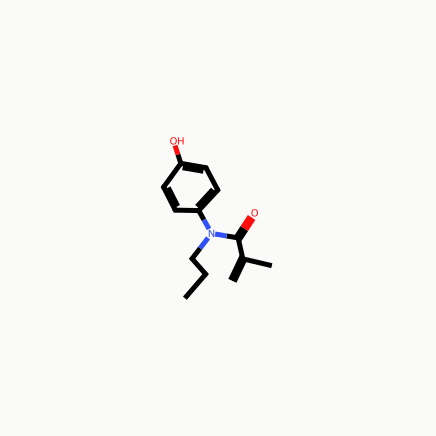 C=C(C)C(=O)N(CCC)c1ccc(O)cc1